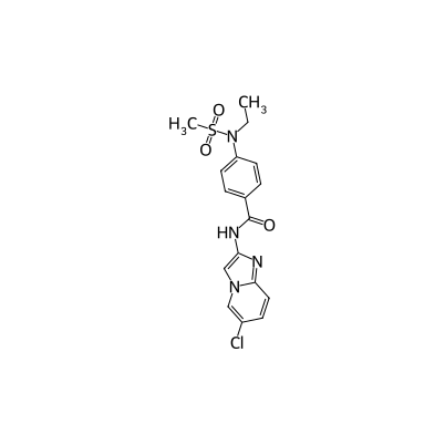 CCN(c1ccc(C(=O)Nc2cn3cc(Cl)ccc3n2)cc1)S(C)(=O)=O